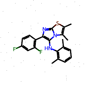 Cc1cccc(C)c1Nc1c(-c2ccc(F)cc2F)nc2sc(C)c(C)n12